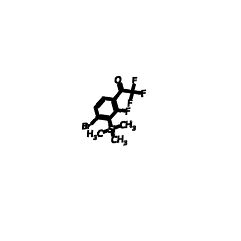 C[Si](C)(C)c1c(Br)ccc(C(=O)C(F)(F)F)c1F